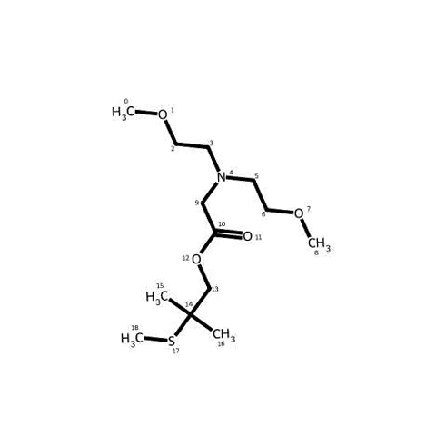 COCCN(CCOC)CC(=O)OCC(C)(C)SC